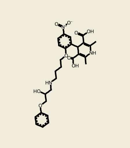 CC1=C(C(=O)O)C(c2cc([N+](=O)[O-])ccc2OCCCCNCC(O)COc2ccccc2)C(C(=O)O)=C(C)N1